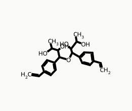 C=Cc1ccc(C(OC(c2ccc(C=C)cc2)C(O)C(C)O)C(O)C(C)O)cc1